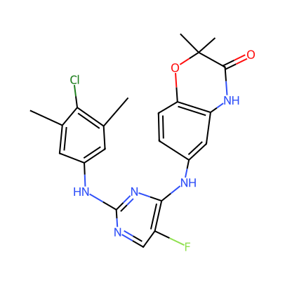 Cc1cc(Nc2ncc(F)c(Nc3ccc4c(c3)NC(=O)C(C)(C)O4)n2)cc(C)c1Cl